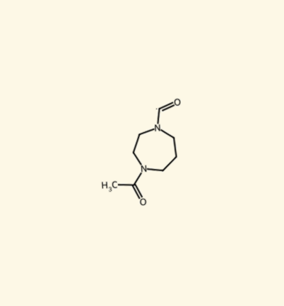 CC(=O)N1CCCN([C]=O)CC1